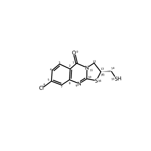 O=c1c2ccc(Cl)cc2nc2n1C[C@H](CS)S2